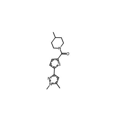 Cc1cc(-c2ccc(C(=O)N3CCC(C)CC3)s2)nn1C